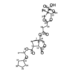 CC(OC(=O)C1C2CC3C(OC(=O)C31)C2OC(=O)CCC(=O)OC(C)C(F)(F)S(=O)(=O)O)OC1CCCC1